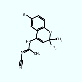 C/C(=N\C#N)NC1=CC(C)(C)Oc2ccc(Br)cc21